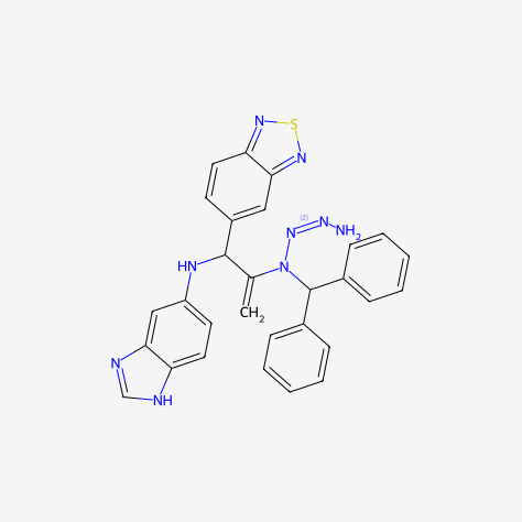 C=C(C(Nc1ccc2[nH]cnc2c1)c1ccc2nsnc2c1)N(/N=N\N)C(c1ccccc1)c1ccccc1